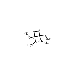 NCC1(OCl)CCC1(CN)OCl